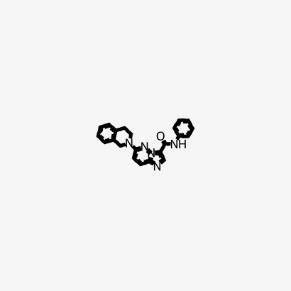 O=C(Nc1ccccc1)c1cnc2ccc(N3CCc4ccccc4C3)nn12